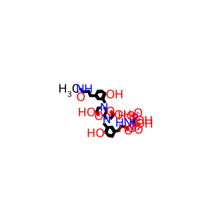 CNC(=O)CCc1ccc(O)c(CN(CCN(CC(=O)O)Cc2cc(CCC(=O)NC(P(=O)(O)O)P(=O)(O)O)ccc2O)CC(=O)O)c1